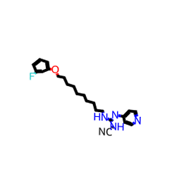 N#CN/C(=N\c1ccncc1)NCCCCCCCCCCOc1cccc(F)c1